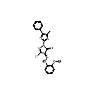 CCOc1ccccc1N/N=C1/C(=O)N(c2nc(-c3ccccc3)c(C)s2)N=C1CC